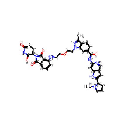 Cc1nn(CCOCCNc2cccc3c2C(=O)N(C2CCC(=O)NC2=O)C3=O)c2cc(C(=O)Nc3cc4[nH]c([C@H]5CCCN5C)cc4cn3)ccc12